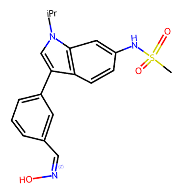 CC(C)n1cc(-c2cccc(/C=N\O)c2)c2ccc(NS(C)(=O)=O)cc21